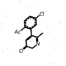 CC(=O)c1ccc(Cl)cc1C1=CC(=O)CN=C1C